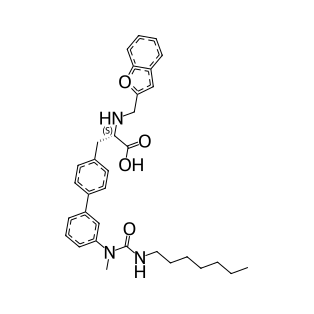 CCCCCCCNC(=O)N(C)c1cccc(-c2ccc(C[C@H](NCc3cc4ccccc4o3)C(=O)O)cc2)c1